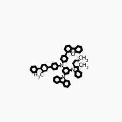 C=C/C=C\c1c(C)c2ccccc2n1-c1cc(N(c2ccc(C3=CC=C(c4ccccc4)C(C)C3)cc2)c2ccc(-c3cccc4c3oc3ccccc34)cc2)cc(-n2c3ccccc3c3ccccc32)c1